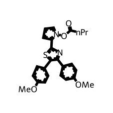 CCCC(=O)On1cccc1-c1nc(-c2ccc(OC)cc2)c(-c2ccc(OC)cc2)s1